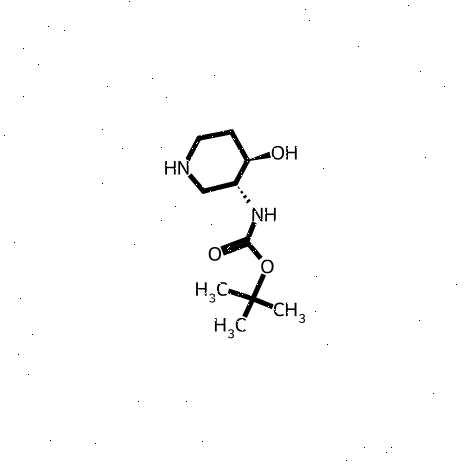 CC(C)(C)OC(=O)N[C@@H]1CNCC[C@H]1O